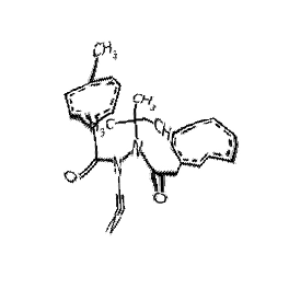 Cc1ccc(C(=O)N(C#N)N(C(=O)c2ccccc2)C(C)(C)C)cc1